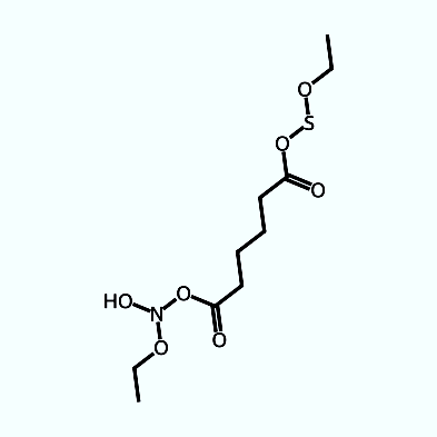 CCOSOC(=O)CCCCC(=O)ON(O)OCC